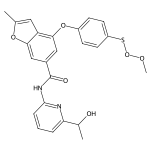 COOSc1ccc(Oc2cc(C(=O)Nc3cccc(C(C)O)n3)cc3oc(C)cc23)cc1